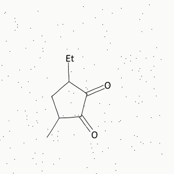 CCC1CC(C)C(=O)C1=O